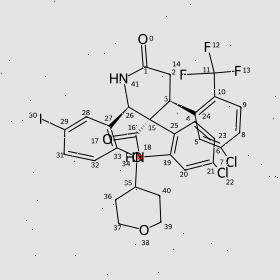 O=C1C[C@@H](c2cc(Cl)ccc2C(F)(F)F)[C@]2(C(=O)Nc3cc(Cl)ccc32)[C@@H](c2cc(I)ccc2OC2CCOCC2)N1